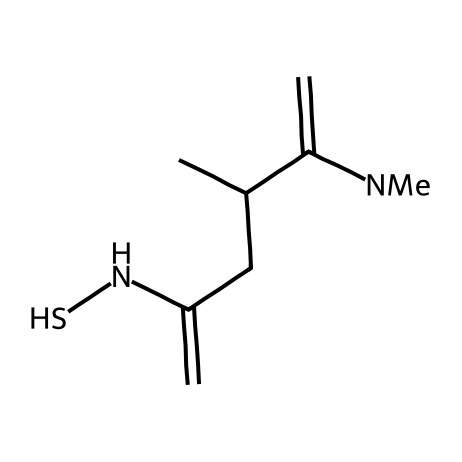 C=C(CC(C)C(=C)NC)NS